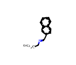 CCOC(=O)CN=Cc1ccc2ccccc2c1